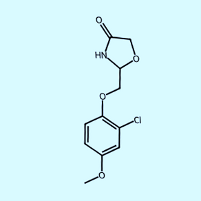 COc1ccc(OCC2NC(=O)CO2)c(Cl)c1